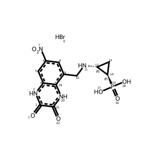 Br.O=c1[nH]c2cc([N+](=O)[O-])cc(CN[C@@H]3C[C@H]3P(=O)(O)O)c2[nH]c1=O